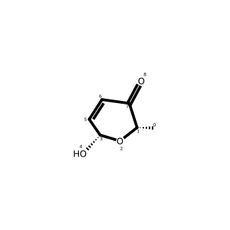 C[C@@H]1O[C@H](O)C=CC1=O